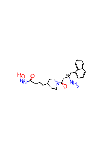 N[C@@H](CC(=O)N1CCC(CCCC(=O)NO)CC1)Cc1cccc2ccccc12